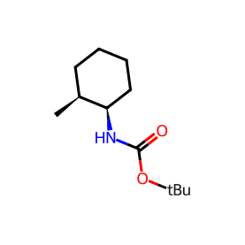 C[C@H]1CCCC[C@H]1NC(=O)OC(C)(C)C